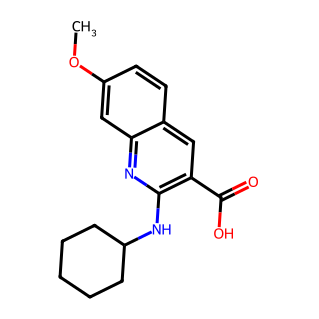 COc1ccc2cc(C(=O)O)c(NC3CCCCC3)nc2c1